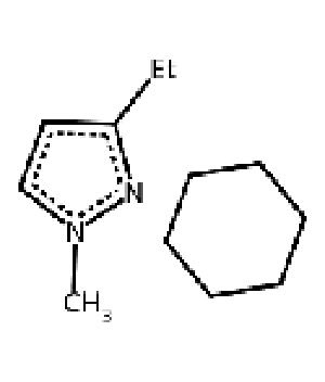 C1CCCCC1.CCc1ccn(C)n1